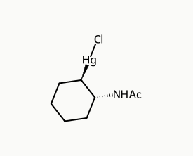 CC(=O)N[C@@H]1CCCC[C@H]1[Hg][Cl]